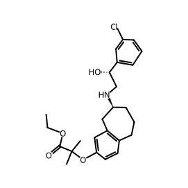 CCOC(=O)C(C)(C)Oc1ccc2c(c1)C[C@@H](NC[C@H](O)c1cccc(Cl)c1)CCC2